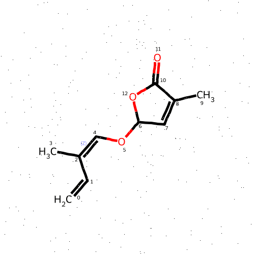 C=C/C(C)=C\OC1C=C(C)C(=O)O1